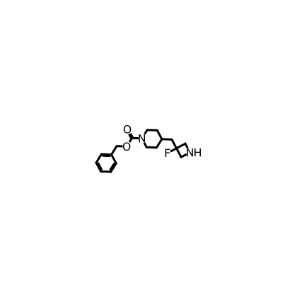 O=C(OCc1ccccc1)N1CCC(CC2(F)CNC2)CC1